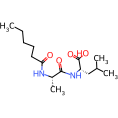 CCCCCC(=O)N[C@@H](C)C(=O)N[C@@H](CC(C)C)C(=O)O